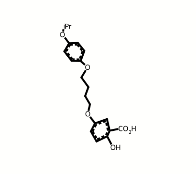 CC(C)Oc1ccc(OCCCCOc2ccc(O)c(C(=O)O)c2)cc1